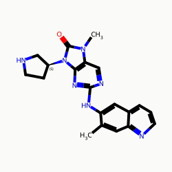 Cc1cc2ncccc2cc1Nc1ncc2c(n1)n([C@H]1CCNC1)c(=O)n2C